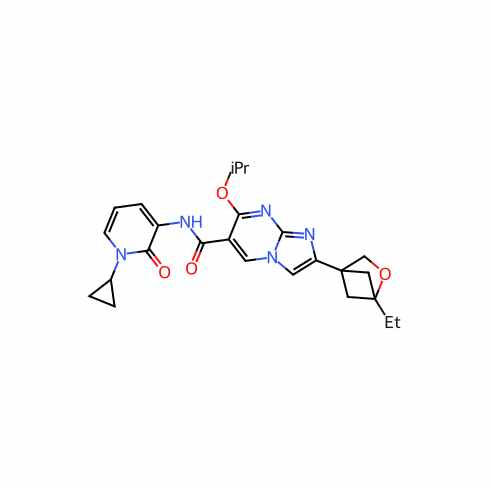 CCC12CC(c3cn4cc(C(=O)Nc5cccn(C6CC6)c5=O)c(OC(C)C)nc4n3)(CO1)C2